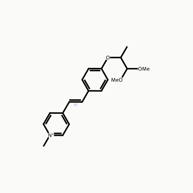 COC(OC)C(C)Oc1ccc(/C=C/c2cc[n+](C)cc2)cc1